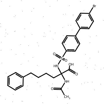 CC(=O)NC(CCCCc1ccccc1)(NS(=O)(=O)c1ccc(-c2ccc(Br)cc2)cc1)C(=O)O